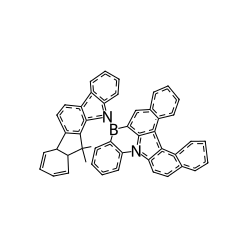 CC1(C)c2c(ccc3c4ccccc4n(B4c5ccccc5-n5c6ccc7ccccc7c6c6c7ccccc7cc4c65)c23)C2C=CC=CC21